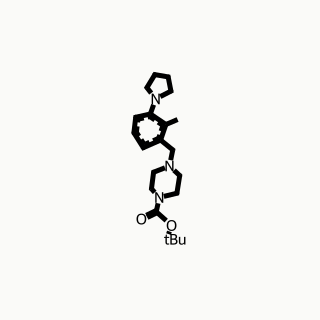 Cc1c(CN2CCN(C(=O)OC(C)(C)C)CC2)cccc1N1CCCC1